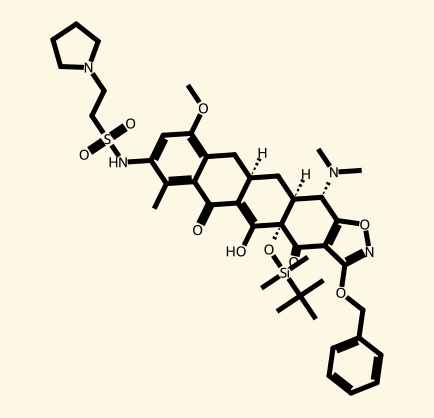 COc1cc(NS(=O)(=O)CCN2CCCC2)c(C)c2c1C[C@H]1C[C@H]3[C@H](N(C)C)c4onc(OCc5ccccc5)c4C(=O)[C@@]3(O[Si](C)(C)C(C)(C)C)C(O)=C1C2=O